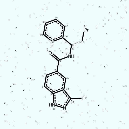 CC(C)C[C@H](NC(=O)c1ccc2[nH]nc(I)c2c1)c1ccccn1